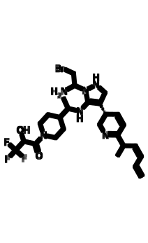 C=C/C=C\C(C)C1=NC[C@H](C2=C(NC(C)C3CCN(C(=O)C(O)C(F)(F)F)CC3)N(C(N)CBr)NC2)C=C1